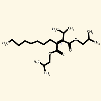 CCCCCCCC/C(C(=O)OCC(C)C)=C(/C(=O)OCC(C)C)C(C)C